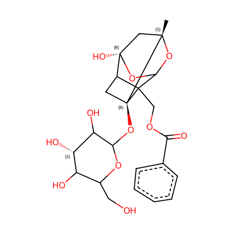 C[C@@]12C[C@@]3(O)OC(O1)C1(COC(=O)c4ccccc4)C3C[C@@]12OC1OC(CO)C(O)[C@H](O)C1O